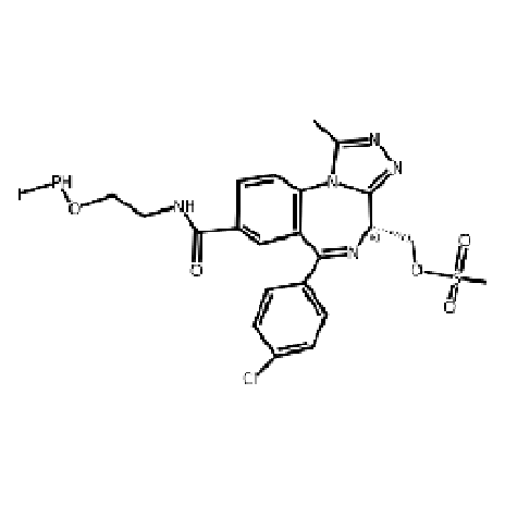 Cc1nnc2n1-c1ccc(C(=O)NCCOPI)cc1C(c1ccc(Cl)cc1)=N[C@H]2COS(C)(=O)=O